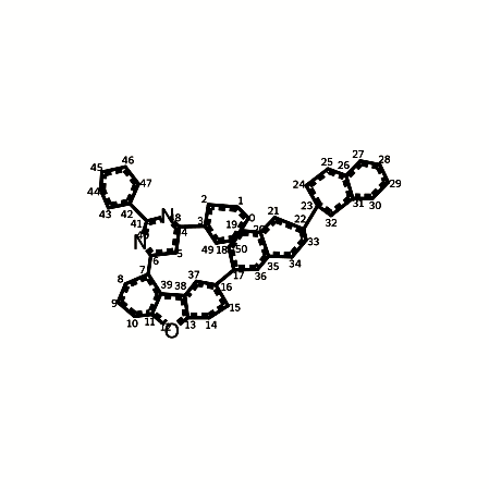 c1ccc(-c2cc(-c3cccc4oc5ccc(-c6ccc7cc(-c8ccc9ccccc9c8)ccc7c6)cc5c34)nc(-c3ccccc3)n2)cc1